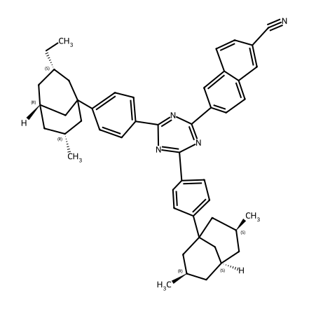 CC[C@H]1C[C@H]2C[C@@H](C)CC(c3ccc(-c4nc(-c5ccc(C67C[C@H](C)C[C@H](C[C@H](C)C6)C7)cc5)nc(-c5ccc6cc(C#N)ccc6c5)n4)cc3)(C2)C1